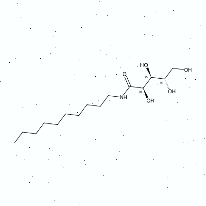 CCCCCCCCCCNC(=O)[C@H](O)[C@@H](O)[C@@H](O)CO